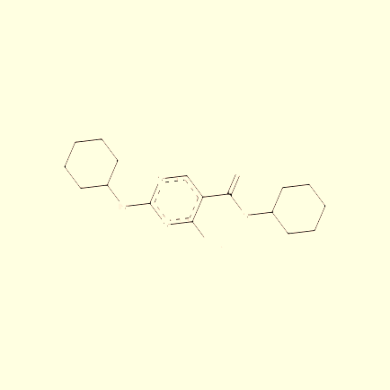 Cc1nc(NC2CCCCC2)ncc1C(=O)NC1CCCCC1